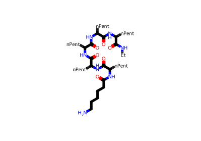 CCCCCC(NC(=O)CCCCCN)C(=O)NC(CCCCC)C(=O)NC(CCCCC)C(=O)NC(CCCCC)C(=O)NC(CCCCC)C(=O)NCC